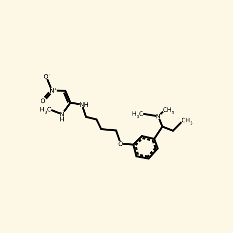 CCC(c1cccc(OCCCCN/C(=C/[N+](=O)[O-])NC)c1)N(C)C